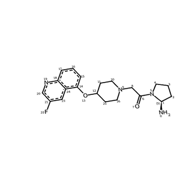 N[C@@H]1CCCN1C(=O)CN1CCC(Oc2cccc3ncc(F)cc23)CC1